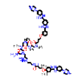 CCCN(CC(=O)N(CCC)CC(=O)N(CCC)CC(=O)N(CCC)CC(=O)N(CC(N)=O)CC1=CN(CCCNC(=O)CCCOc2c(C(C)(C)C)cc(-c3nc4cc(N5CCN(C)CC5)ccc4[nH]3)cc2C(C)(C)C)NN1)C(=O)CCCOc1cccc(-c2nc3ccc(-c4nc5ccc(N6CCN(C)CC6)cc5[nH]4)cc3[nH]2)c1